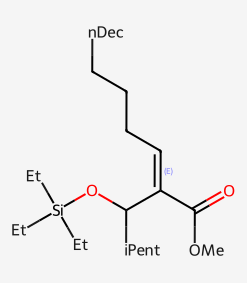 CCCCCCCCCCCCC/C=C(/C(=O)OC)C(O[Si](CC)(CC)CC)C(C)CCC